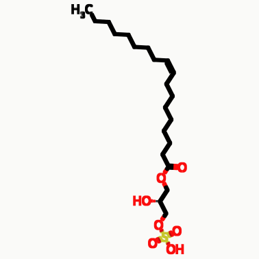 CCCCCCCC/C=C\CCCCCCCC(=O)OC[C@@H](O)COS(=O)(=O)O